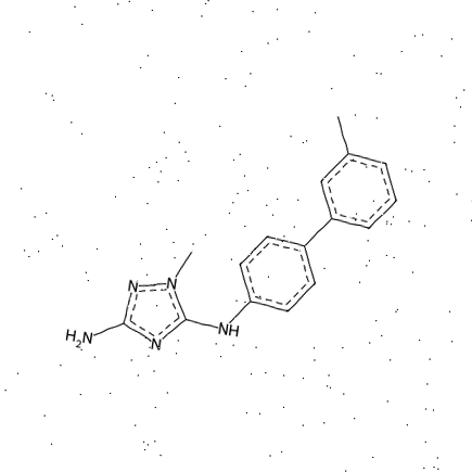 Cc1cccc(-c2ccc(Nc3nc(N)nn3C)cc2)c1